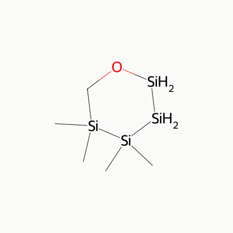 C[Si]1(C)CO[SiH2][SiH2][Si]1(C)C